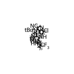 CC(C)(C)CNc1c(C#N)cnc2c(Cl)cc(N[C@H](C3=CN(C4(C(F)(F)F)CC4)NN3)c3cccn4cncc34)cc12